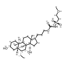 CC[C@H]1[C@@H](O)[C@@H]2[C@H](CC[C@]3(C)[C@@H](CCCOC(=O)NS(=O)(=O)CCOC)CC[C@@H]23)[C@@]2(C)CC[C@@H](O)C[C@@H]12